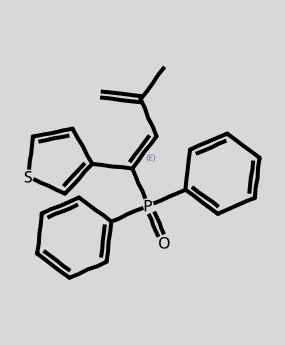 C=C(C)/C=C(\c1ccsc1)P(=O)(c1ccccc1)c1ccccc1